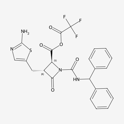 Nc1ncc(C[C@H]2C(=O)N(C(=O)NC(c3ccccc3)c3ccccc3)[C@@H]2C(=O)OC(=O)C(F)(F)F)s1